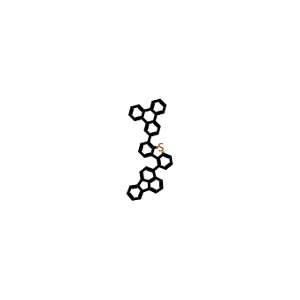 c1ccc2c(c1)-c1cccc3c(-c4cccc5sc6c(-c7ccc8c9ccccc9c9ccccc9c8c7)cccc6c45)ccc-2c13